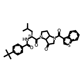 CC(C)C[C@H](NC(=O)c1ccc(C(C)(C)C)cc1)C(=O)N1CCC2C1C(=O)CN2C(=O)c1csc2ccccc12